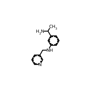 CC(N)c1cccc(NCc2cccnc2)c1